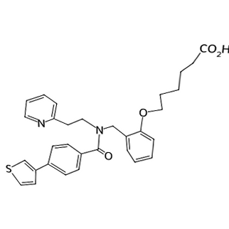 O=C(O)CCCCCOc1ccccc1CN(CCc1ccccn1)C(=O)c1ccc(-c2ccsc2)cc1